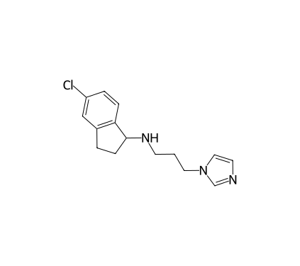 Clc1ccc2c(c1)CCC2NCCCn1ccnc1